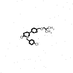 CC(C)COCc1ccc(-c2ccc(=O)n(Cc3ccc(Cl)cc3)c2)cc1